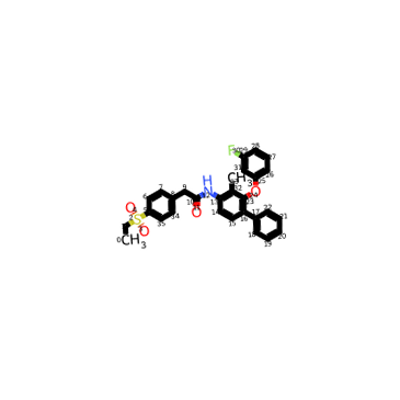 CCS(=O)(=O)c1ccc(CC(=O)Nc2ccc(-c3ccccc3)c(Oc3cccc(F)c3)c2C)cc1